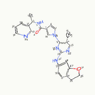 CCC(NC(=O)c1ccn(-c2nc(Nc3ccc4c(c3)OCC4)ncc2C)c1)c1cccnc1